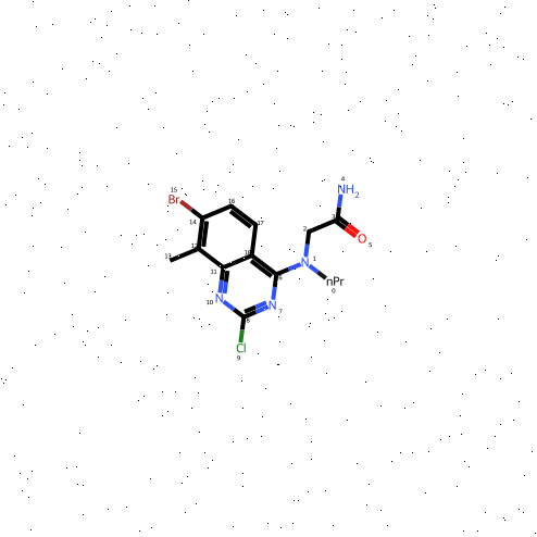 CCCN(CC(N)=O)c1nc(Cl)nc2c(C)c(Br)ccc12